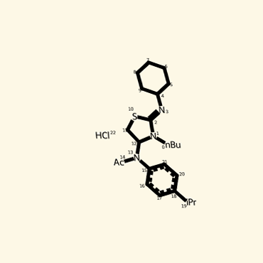 CCCCN1C(=NC2CCCCC2)SCC1N(C(C)=O)c1ccc(C(C)C)cc1.Cl